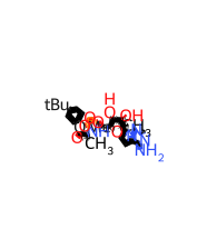 COC(=O)[C@H](C)NP(=O)(OC[C@H]1O[C@@](C)(C2CC=C3C(N)=NC=NN32)[C@H](O)[C@@H]1O)Oc1ccc(C(C)(C)C)cc1